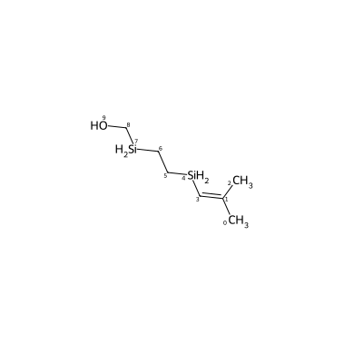 CC(C)=C[SiH2]CC[SiH2]CO